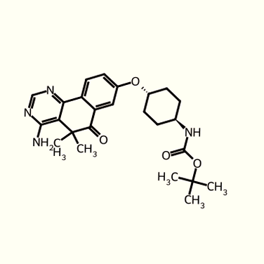 CC(C)(C)OC(=O)N[C@H]1CC[C@H](Oc2ccc3c(c2)C(=O)C(C)(C)c2c(N)ncnc2-3)CC1